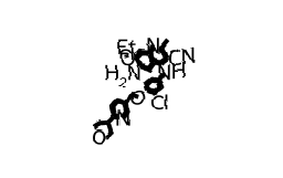 CCOc1cc2nc(C)c(C#N)c(Nc3ccc(OCc4ccc(C5CCOCC5)nc4)c(Cl)c3)c2cc1N